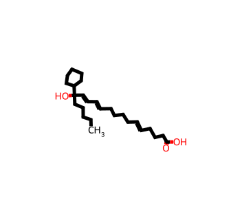 CCCCCC(O)(C=CC=CCCCCC=CCCCC(=O)O)C1CCCCC1